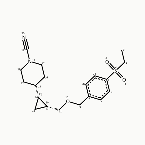 CCS(=O)(=O)c1ccc(COC[C@@H]2C[C@@H]2C2CCN(C#N)CC2)cc1